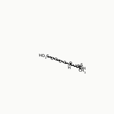 C[C@@H]1NC(=S)N[C@@H]1CCCCCC(=O)NCCOCCOCCOCCOCCC(=O)O